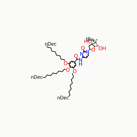 CCCCCCCCCCCCCCCCCCOc1cc(C(=O)Nc2ccn([C@H]3C[C@@](O)([Si](C)(C)C(C)(C)C)[C@@H](CO)O3)c(=O)n2)cc(OCCCCCCCCCCCCCCCCCC)c1OCCCCCCCCCCCCCCCCCC